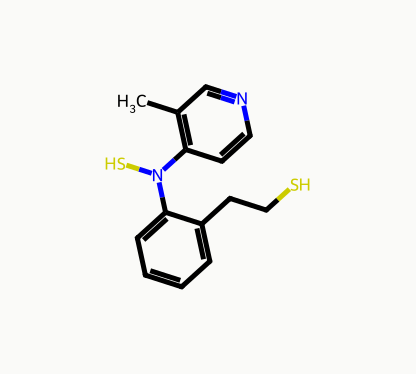 Cc1cnccc1N(S)c1ccccc1CCS